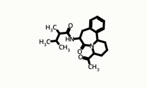 CC(=O)C1CCCC2c3ccccc3CC(NC(=O)C(C)C(C)C)C(=O)N12